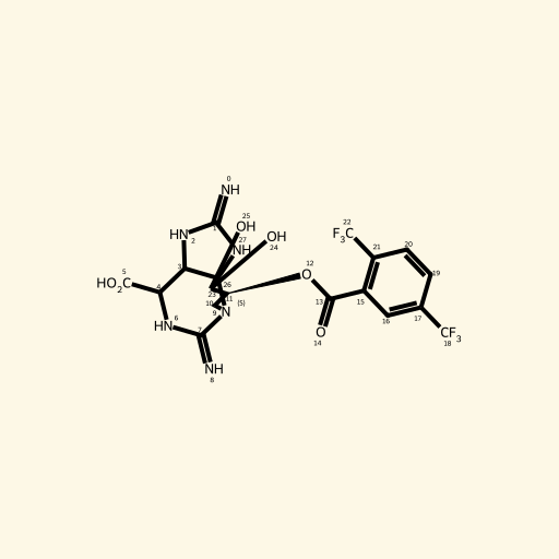 N=C1NC2C(C(=O)O)NC(=N)N3C[C@H](OC(=O)c4cc(C(F)(F)F)ccc4C(F)(F)F)C(O)(O)C23N1